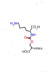 CCCCCCCCC(CCCCCC)COC(=O)N[C@@H](CCCCN)C(=O)O